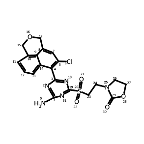 Nc1nc(-c2c(Cl)cc3c4c(cccc24)COC3)nc(S(=O)(=O)CCN2CCOC2=O)n1